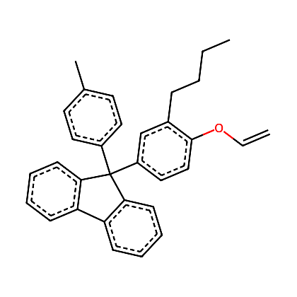 C=COc1ccc(C2(c3ccc(C)cc3)c3ccccc3-c3ccccc32)cc1CCCC